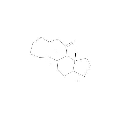 C[C@@]12CCC[C@H]1[C@@H]1C(=O)CC3CCCC[C@]3(C)[C@@H]1CC2